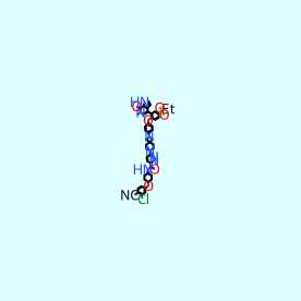 CCS(=O)(=O)c1ccc(Oc2ccc(N3CC4(CCN(c5ccc(C(=O)NC6CCC(Oc7ccc(C#N)c(Cl)c7)CC6)nn5)CC4)C3)cc2)c(-c2cn(C)c(=O)c3[nH]ccc23)c1